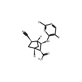 N#C[C@@H]1C[C@@H]2C[C@H]1[C@@H](Nc1nc(Cl)ncc1F)[C@H]2C(N)=O